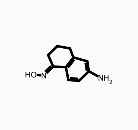 Nc1ccc2c(c1)CCCC2=NO